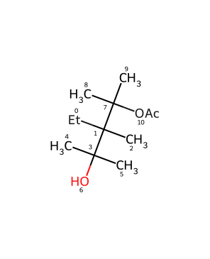 CCC(C)(C(C)(C)O)C(C)(C)OC(C)=O